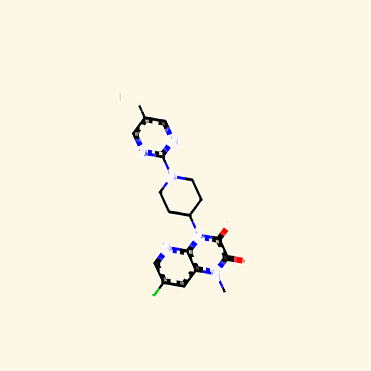 Cn1c(=O)c(=O)n(C2CCN(c3ncc(C(F)(F)F)cn3)CC2)c2ncc(Cl)cc21